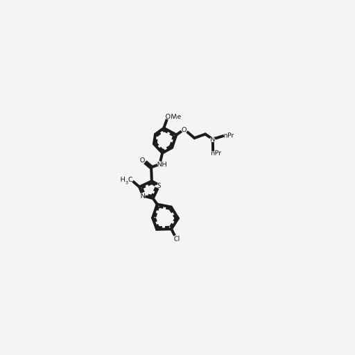 CCCN(CCC)CCOc1cc(NC(=O)c2sc(-c3ccc(Cl)cc3)nc2C)ccc1OC